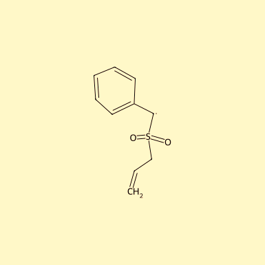 C=CCS(=O)(=O)[CH]c1ccccc1